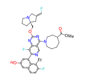 CCc1c(F)ccc2cc(O)cc(-c3ncc4c(N5CCCCC(C(=O)OC)CC5)nc(OC[C@@]56CCCN5C/C(=C\F)C6)nc4c3F)c12